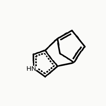 C1=C2CC(=C1)c1c[nH]cc12